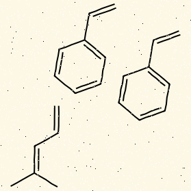 C=CC=C(C)C.C=Cc1ccccc1.C=Cc1ccccc1